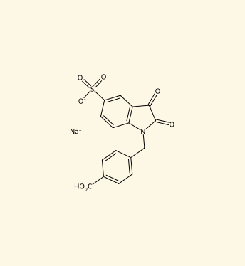 O=C(O)c1ccc(CN2C(=O)C(=O)c3cc(S(=O)(=O)[O-])ccc32)cc1.[Na+]